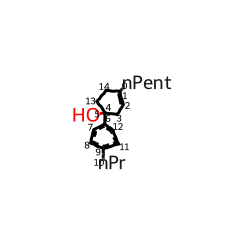 CCCCCC1=CCC(O)(c2ccc(CCC)cc2)CC1